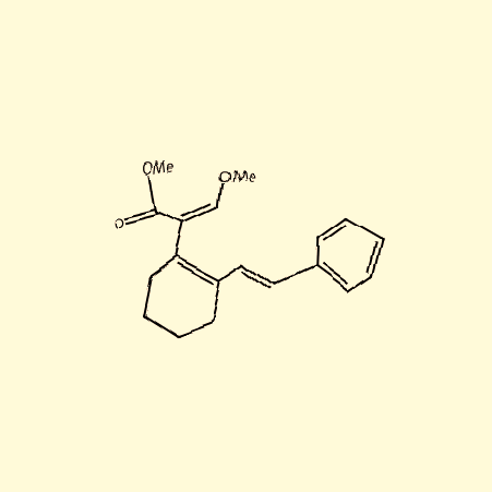 COC=C(C(=O)OC)C1=C(C=Cc2ccccc2)CCCC1